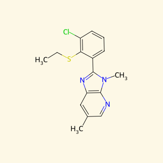 CCSc1c(Cl)cccc1-c1nc2cc(C)cnc2n1C